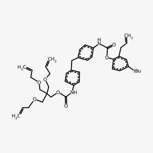 C=CCOCC(COCC=C)(COCC=C)COC(=O)Nc1ccc(Cc2ccc(NC(=O)Oc3ccc(C(C)(C)C)cc3CC=C)cc2)cc1